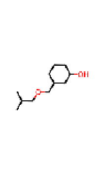 CC(C)COCC1CCCC(O)C1